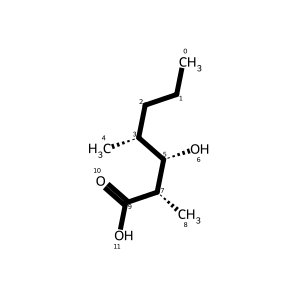 CCC[C@@H](C)[C@H](O)[C@H](C)C(=O)O